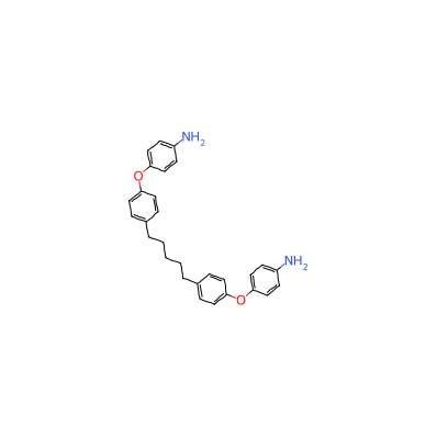 Nc1ccc(Oc2ccc(CCCCCc3ccc(Oc4ccc(N)cc4)cc3)cc2)cc1